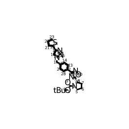 CC(C)(C)OC(=O)N1CCC[C@H]1c1nc(-c2ccc(Cn3cc(-c4cccs4)nn3)cc2)no1